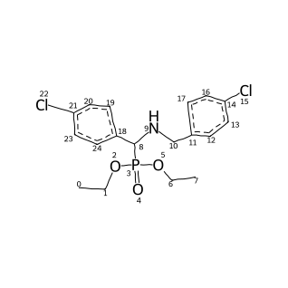 CCOP(=O)(OCC)C(NCc1ccc(Cl)cc1)c1ccc(Cl)cc1